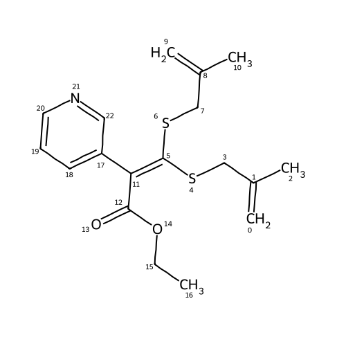 C=C(C)CSC(SCC(=C)C)=C(C(=O)OCC)c1cccnc1